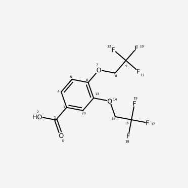 O=C(O)c1ccc(OCC(F)(F)F)c(OCC(F)(F)F)c1